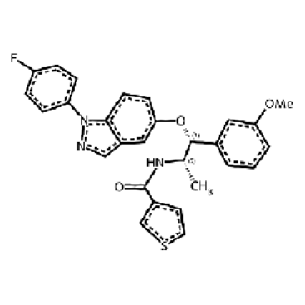 COc1cccc([C@@H](Oc2ccc3c(cnn3-c3ccc(F)cc3)c2)[C@H](C)NC(=O)c2ccsc2)c1